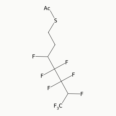 CC(=O)SCCC(F)C(F)(F)C(F)(F)C(F)C(F)(F)F